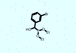 CCOP(OCC)C(O)c1cccc(Br)c1